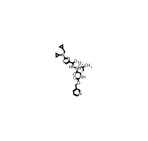 CC(C)C[C@H](NC(=O)OCc1cccnc1)C(=O)NNC(=O)c1csc(N(CC2CC2)C2CC2)n1